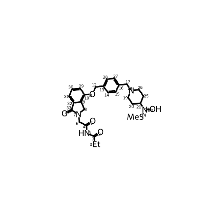 CCC(=O)NC(=O)CN1Cc2c(OCc3ccc(CN4CCC(N(O)SC)CC4)cc3)cccc2C1=O